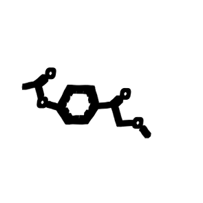 COCC(=O)c1ccc(OC(C)=O)cc1